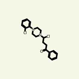 O=C(CCC(Cl)N1CCN(c2ccccc2Cl)CC1)c1ccccc1